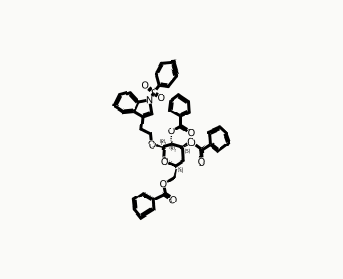 O=C(OC[C@@H]1C[C@H](OC(=O)c2ccccc2)[C@@H](OC(=O)c2ccccc2)[C@H](OCCc2cn(S(=O)(=O)c3ccccc3)c3ccccc23)O1)c1ccccc1